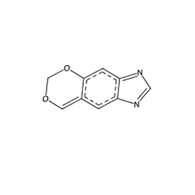 C1=Nc2cc3c(cc2=N1)OCOC=3